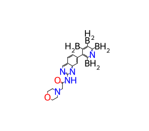 Bc1nc(B)c(-c2ccc3cnc(NC(=O)CN4CCOCC4)nc3c2)c(B)c1B